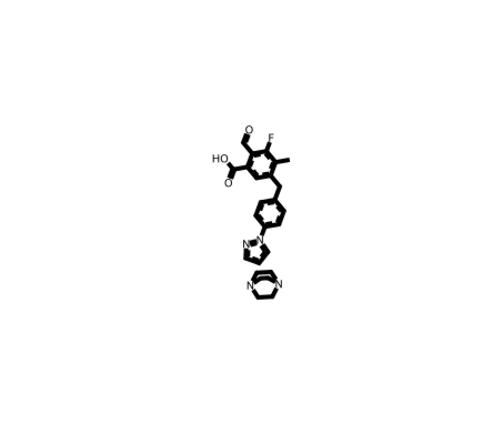 C1CN2CCN1CC2.Cc1c(Cc2ccc(-n3cccn3)cc2)cc(C(=O)O)c(C=O)c1F